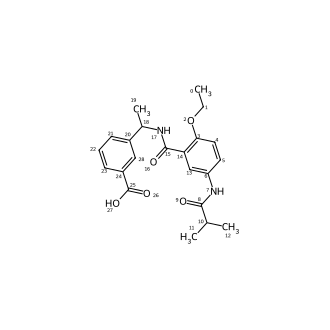 CCOc1ccc(NC(=O)C(C)C)cc1C(=O)NC(C)c1cccc(C(=O)O)c1